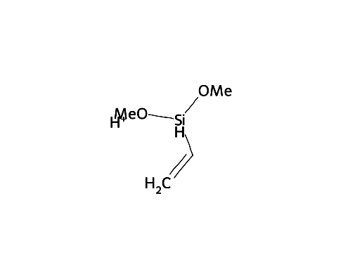 C=C[SiH](OC)OC.[H+]